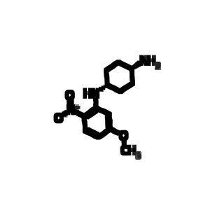 COc1ccc([N+](=O)[O-])c(N[C@H]2CC[C@H](N)CC2)c1